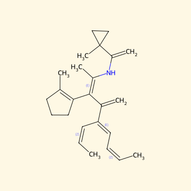 C=C(C(/C=C\C)=C/C=C\C)/C(C1=C(C)CCC1)=C(/C)NC(=C)C1(C)CC1